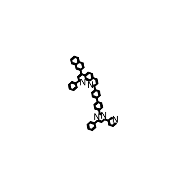 c1ccc(-c2cc(-c3cccnc3)nc(-c3ccc(-c4ccc(-c5ccc6ccc7c(-c8ccc9ccccc9c8)cc(-c8ccccc8)nc7c6n5)cc4)cc3)n2)cc1